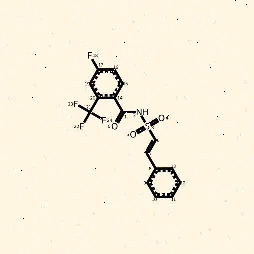 O=C(NS(=O)(=O)C=Cc1ccccc1)c1ccc(F)cc1C(F)(F)F